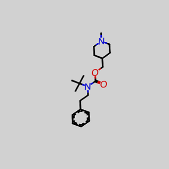 CN1CCC(COC(=O)N(CCc2ccccc2)C(C)(C)C)CC1